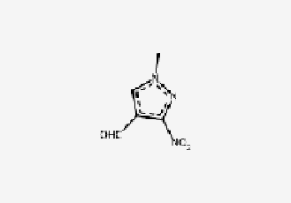 Cn1cc(C=O)c([N+](=O)[O-])n1